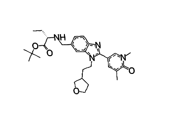 CC[C@H](NCc1ccc2nc(-c3cc(C)c(=O)n(C)c3)n(CCC3CCOC3)c2c1)C(=O)OC(C)(C)C